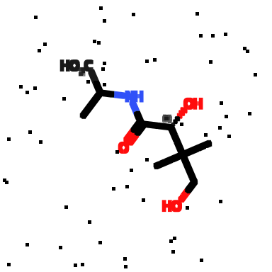 CC(NC(=O)[C@H](O)C(C)(C)CO)C(=O)O